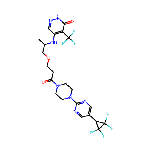 CC(COCCC(=O)N1CCN(c2ncc(C3C(F)(F)C3(F)F)cn2)CC1)Nc1cn[nH]c(=O)c1C(F)(F)F